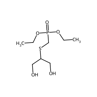 CCOP(=O)(CSC(CO)CO)OCC